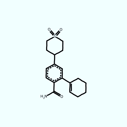 NC(=O)c1ccc(C2CCS(=O)(=O)CC2)cc1C1=CCCCC1